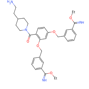 CCOC(=N)c1cccc(COc2ccc(C(=O)N3CCC(CCN)CC3)c(OCc3cccc(C(=N)OCC)c3)c2)c1